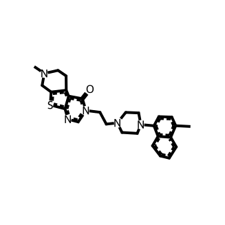 Cc1ccc(N2CCN(CCn3cnc4sc5c(c4c3=O)CCN(C)C5)CC2)c2ccccc12